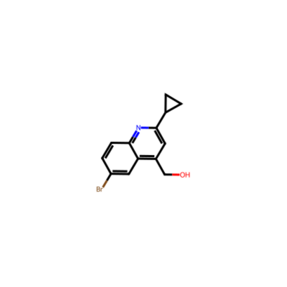 OCc1cc(C2CC2)nc2ccc(Br)cc12